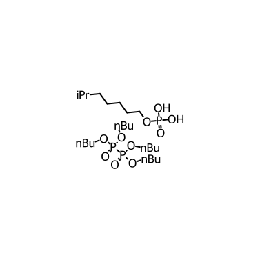 CC(C)CCCCCOP(=O)(O)O.CCCCOP(=O)(OCCCC)P(=O)(OCCCC)OCCCC